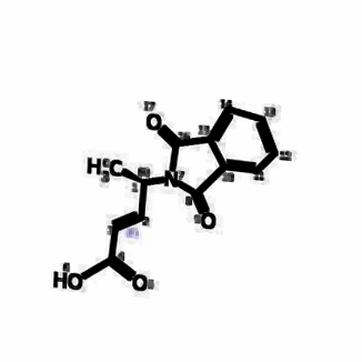 C[C@H](/C=C/C(=O)O)N1C(=O)c2ccccc2C1=O